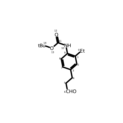 CCc1cc(CCC=O)ccc1NC(=O)OC(C)(C)C